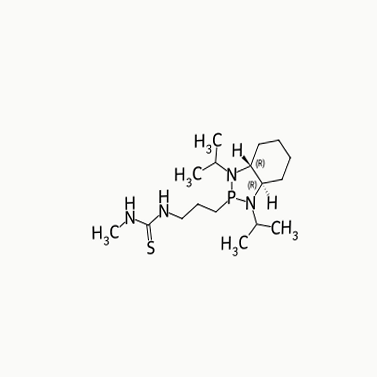 CNC(=S)NCCCP1N(C(C)C)[C@@H]2CCCC[C@H]2N1C(C)C